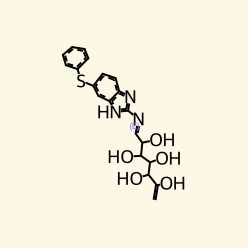 C=C(O)C(O)C(O)C(O)C(O)/C=N/c1nc2ccc(Sc3ccccc3)cc2[nH]1